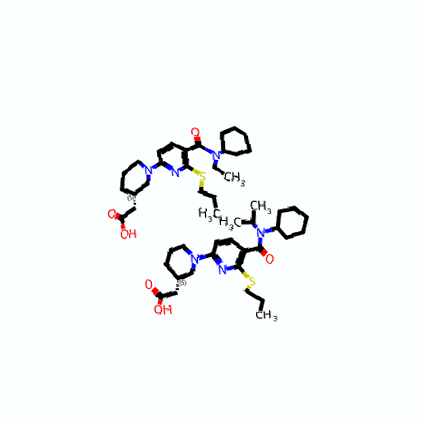 CCCSc1nc(N2CCC[C@@H](CC(=O)O)C2)ccc1C(=O)N(C(C)C)C1CCCCC1.CCCSc1nc(N2CCC[C@@H](CC(=O)O)C2)ccc1C(=O)N(CC)C1CCCCC1